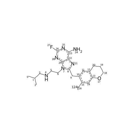 CC(C)CNCCn1c(Cc2cc3c(cc2[124I])OCCC3)nc2c(N)nc(F)nc21